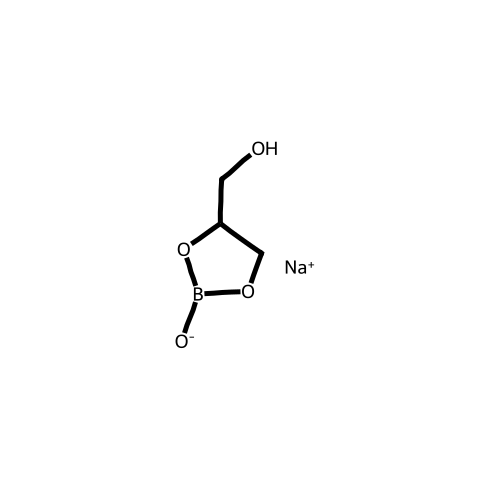 [Na+].[O-]B1OCC(CO)O1